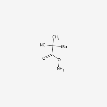 CC(C)(C)C(C)(C#N)C(=O)ON